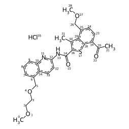 COCCOCc1cccc2nc(NC(=O)c3sc4c(C(C)=O)ccc(COC)c4c3C)ccc12.Cl